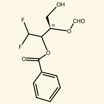 O=CO[C@H](CO)C(OC(=O)c1ccccc1)C(F)F